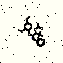 COc1ccc(O/C(=C/c2cccnc2)C(OC(C)=O)C(C)(C)C)c(OC)c1